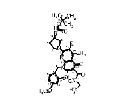 CCOC(=O)c1cn(Cc2ccc(OC)cc2OC)c2nc(N3CCC(NC(=O)OC(C)(C)C)C3)c(F)c(C)c2c1=O